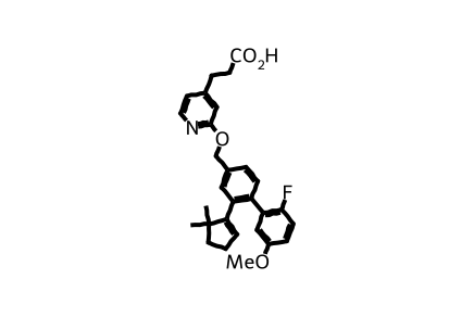 COc1ccc(F)c(-c2ccc(COc3cc(CCC(=O)O)ccn3)cc2C2=CCCC2(C)C)c1